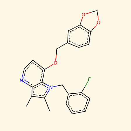 Cc1c(C)n(Cc2ccccc2F)c2c(OCc3ccc4c(c3)OCO4)ccnc12